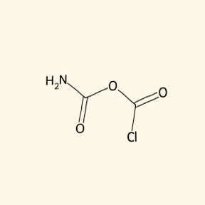 NC(=O)OC(=O)Cl